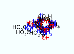 C[C@@H]1NC(=O)[C@@H]2CCCN2C(=O)[C@H](CC(N)=O)NC(=O)[C@@H]2CSSC[C@H](NC(=O)CCCCCNC(=O)CN3CCN(CC(=O)O)CCN(CC(=O)O)CCN(CC(=O)O)CC3)C(=O)N[C@H]3CSSC[C@H](NC1=O)C(=O)N[C@@H]([C@@H](C)O)C(=O)NCC(=O)N[C@H](C(=O)N[C@@H](Cc1ccc(O)cc1)C(=O)O)CSSC[C@H](NC(=O)[C@H](Cc1ccc(O)cc1)NC(=O)[C@H](CCC(=O)O)NC3=O)C(=O)N2